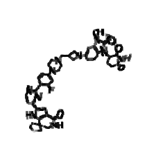 Cn1c(=O)n(C2CCC(=O)NC2=O)c2ccc(N3CC(CN4CCN(c5ccc(-c6nccc(-c7cc8c([nH]7)C7(CCCC7)CNC8=O)n6)c(F)c5)CC4)C3)cc21